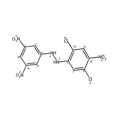 O=[N+]([O-])c1cc(NNc2cc(Cl)c([N+](=O)[O-])cc2Cl)cc([N+](=O)[O-])c1